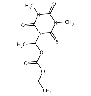 CCOC(=O)OC(C)n1c(=O)n(C)c(=O)n(C)c1=S